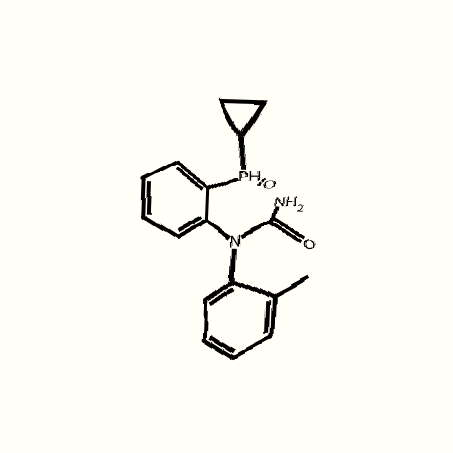 Cc1ccccc1N(C(N)=O)c1ccccc1[PH](=O)C1CC1